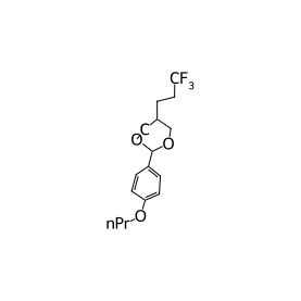 CCCOc1ccc(C2OCC(CCC(F)(F)F)CO2)cc1